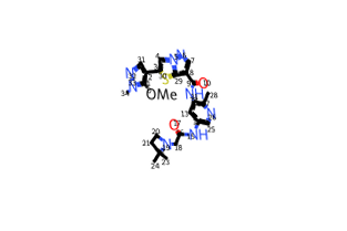 COc1c(-c2cn3ncc(C(=O)Nc4cc(NC(=O)CN5CCC5(C)C)cnc4C)c3s2)cnn1C